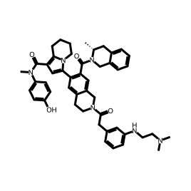 C[C@@H]1Cc2ccccc2CN1C(=O)c1cc2c(cc1-c1cc(C(=O)N(C)c3ccc(O)cc3)c3n1CCCC3)CCN(C(=O)Cc1cccc(NCCN(C)C)c1)C2